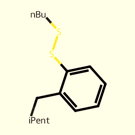 CCCCSSc1ccccc1CC(C)CCC